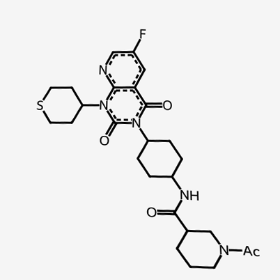 CC(=O)N1CCCC(C(=O)NC2CCC(n3c(=O)c4cc(F)cnc4n(C4CCSCC4)c3=O)CC2)C1